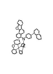 c1ccc2c(c1)Oc1ccccc1C21c2ccccc2-c2ccc(N(c3ccc(-c4cccc5ccccc45)cc3)c3cccc4c3ccc3c5ccccc5oc43)cc21